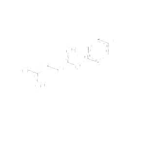 C/C(Cl)=C\C=C(/C)Oc1ccccc1